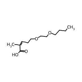 CCCCOCCOCCC=C(C)C(=O)O